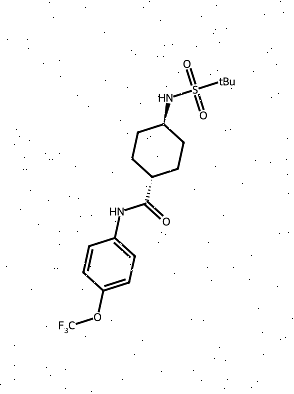 CC(C)(C)S(=O)(=O)N[C@H]1CC[C@H](C(=O)Nc2ccc(OC(F)(F)F)cc2)CC1